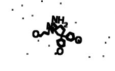 COc1ccc(C2(c3ccc(OC)cc3)C=Cc3c(N)nn(C=CC=O)c3C2)cc1